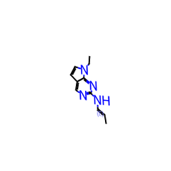 C/C=C/Nc1ncc2ccn(CC)c2n1